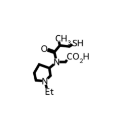 CCN1CCCC(N(CC(=O)O)C(=O)C(C)CS)C1